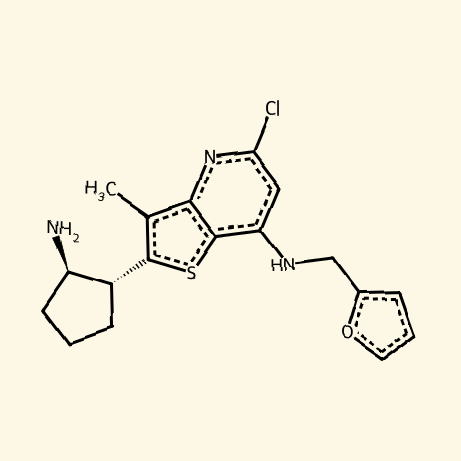 Cc1c([C@@H]2CCC[C@H]2N)sc2c(NCc3ccco3)cc(Cl)nc12